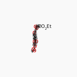 C=C(C)C(=O)OCCOc1ccc(OC(=O)c2ccc(-c3ccc(OCCCCOC(=O)C(=C)CC(=O)OCC)cc3)cc2)cc1